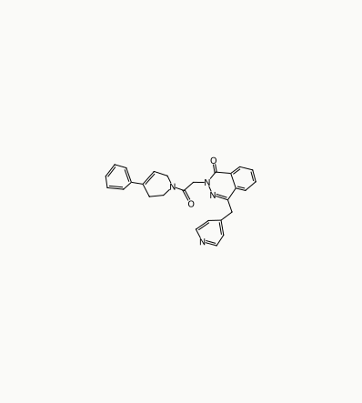 O=C(Cn1nc(Cc2ccncc2)c2ccccc2c1=O)N1CC=C(c2ccccc2)CC1